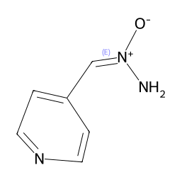 N/[N+]([O-])=C\c1ccncc1